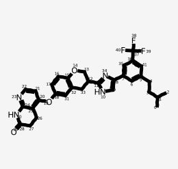 CC(C)CCc1cc(-c2c[nH]c(C3COc4ccc(Oc5ccnc6c5CCC(=O)N6)cc4C3)n2)cc(C(F)(F)F)c1